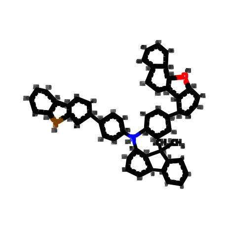 CC1(C)c2ccccc2-c2cccc(N(c3ccc(-c4ccc5c(c4)sc4ccccc45)cc3)c3ccc(-c4cccc5oc6c7ccccc7ccc6c45)cc3)c21